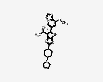 COc1cc(-c2[nH]c3sc(C4CCC(N5CCCC5)CC4)nc3c2C(C)C)cn2ncnc12